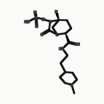 CN1CCC(CCNC(=N)[C@@H]2CC[C@@H]3CN2C(=O)N3OS(=O)(=O)O)CC1